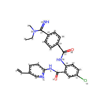 C=Cc1ccc(NC(=O)c2cc(Cl)ccc2NC(=O)c2ccc(C(=N)N(C)CC)cc2)nc1